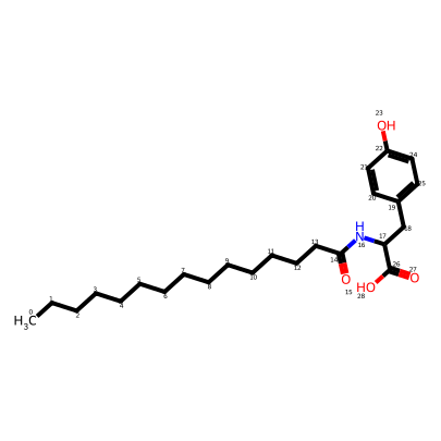 CCCCCCCCCCCCCCC(=O)NC(Cc1ccc(O)cc1)C(=O)O